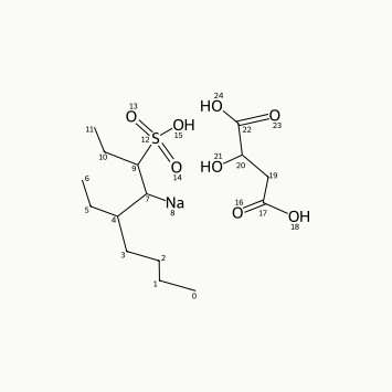 CCCCC(CC)[CH]([Na])C(CC)S(=O)(=O)O.O=C(O)CC(O)C(=O)O